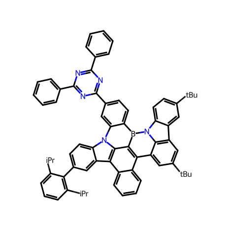 CC(C)c1cccc(C(C)C)c1-c1ccc2c(c1)c1c3ccccc3c3c4c1n2-c1cc(-c2nc(-c5ccccc5)nc(-c5ccccc5)n2)ccc1B4n1c2ccc(C(C)(C)C)cc2c2cc(C(C)(C)C)cc-3c21